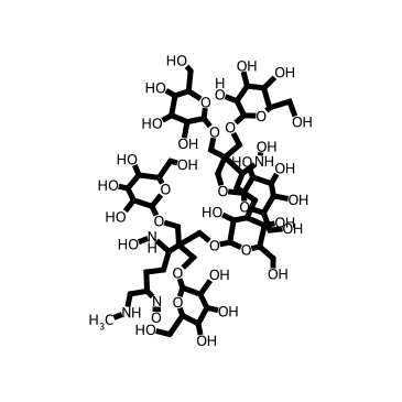 CNCC(CCC(NO)C(COC1OC(CO)C(O)C(O)C1O)(COC1OC(CO)C(O)C(O)C1O)COC1OC(CO)C(O)C(CCC(NO)C(COC2OC(CO)C(O)C(O)C2O)(COC2OC(CO)C(O)C(O)C2O)COC2OC(CO)C(O)C(O)C2O)C1O)N=O